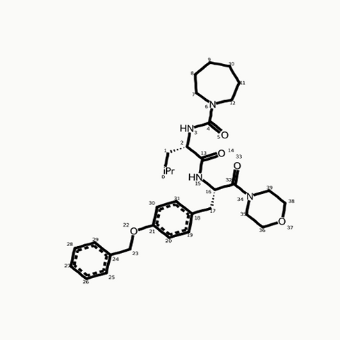 CC(C)C[C@H](NC(=O)N1CCCCCC1)C(=O)N[C@@H](Cc1ccc(OCc2ccccc2)cc1)C(=O)N1CCOCC1